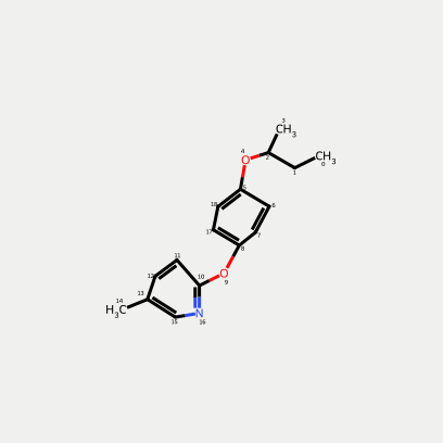 CCC(C)Oc1ccc(Oc2ccc(C)cn2)cc1